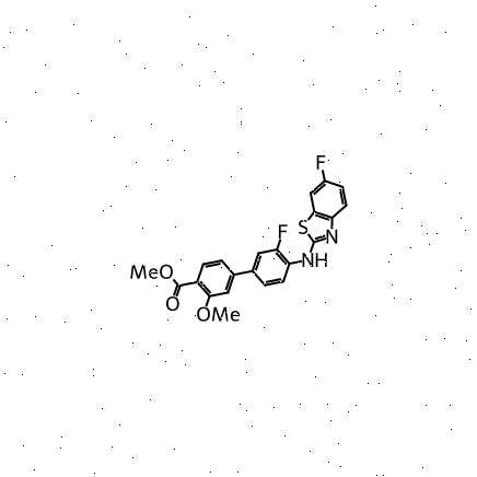 COC(=O)c1ccc(-c2ccc(Nc3nc4ccc(F)cc4s3)c(F)c2)cc1OC